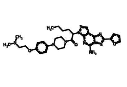 CCCCC(C(=O)N1CCN(c2ccc(OCCN(C)C)cc2)CC1)n1ncc2c1nc(N)n1nc(-c3ccco3)nc21